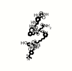 Cc1ncsc1-c1ccc([C@H](C)NC(=O)[C@@H]2C[C@@H](O)CN2C(=O)[C@@H](NC(=O)CCCCCc2ccnc(OC[C@H](CCC(N)=O)NC(=O)[C@@H]3Cc4cccc5c4N3C(=O)[C@@H](NC(=O)c3cc4cc(C(=O)P(=O)(O)O)ccc4[nH]3)CC5)c2)C(C)(C)C)cc1